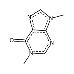 Cn1cnc2c(ncn2C)c1=O